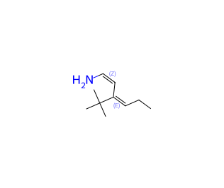 CC/C=C(\C=C/N)C(C)(C)C